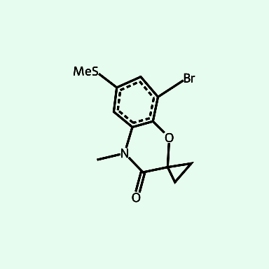 CSc1cc(Br)c2c(c1)N(C)C(=O)C1(CC1)O2